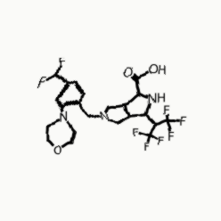 O=C(O)C1NC(C(C(F)(F)F)C(F)(F)F)C2CN(Cc3ccc(C(F)F)cc3N3CCOCC3)CC12